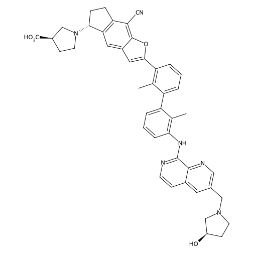 Cc1c(Nc2nccc3cc(CN4CC[C@@H](O)C4)cnc23)cccc1-c1cccc(-c2cc3cc4c(c(C#N)c3o2)CC[C@H]4N2CC[C@@H](C(=O)O)C2)c1C